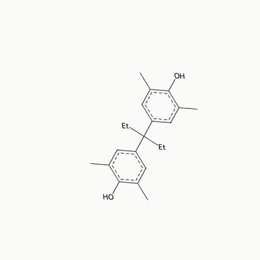 CCC(CC)(c1cc(C)c(O)c(C)c1)c1cc(C)c(O)c(C)c1